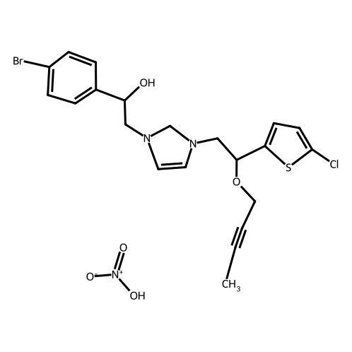 CC#CCOC(CN1C=CN(CC(O)c2ccc(Br)cc2)C1)c1ccc(Cl)s1.O=[N+]([O-])O